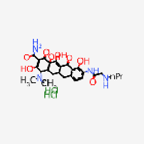 CCCNCC(=O)Nc1ccc2c(c1O)C(=O)C1=C(O)C3(O)C(=O)C(C(N)=O)=C(O)[C@@H](N(C)C)C3CC1C2.Cl.Cl